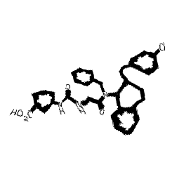 O=C(NCC(=O)N(Cc1ccccc1)C1c2ccccc2CCC1Cc1ccc(Cl)cc1)Nc1cccc(C(=O)O)c1